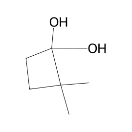 CC1(C)CCC1(O)O